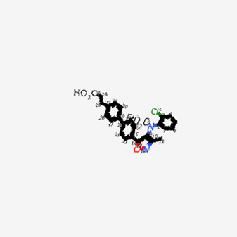 CCOC(=O)N(c1ccccc1Cl)c1c(C)noc1-c1ccc(-c2ccc(CCC(=O)O)cc2)cc1